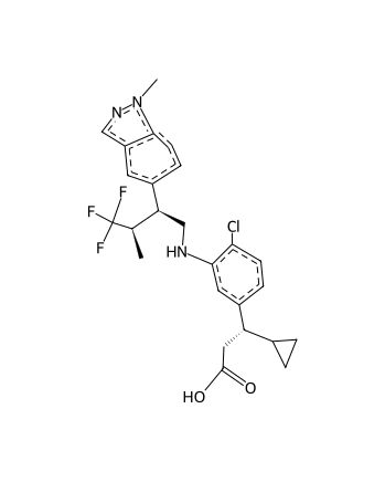 C[C@H]([C@H](CNc1cc([C@@H](CC(=O)O)C2CC2)ccc1Cl)c1ccc2c(cnn2C)c1)C(F)(F)F